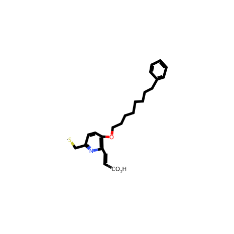 O=C(O)C=Cc1nc(C[S])ccc1OCCCCCCCCc1ccccc1